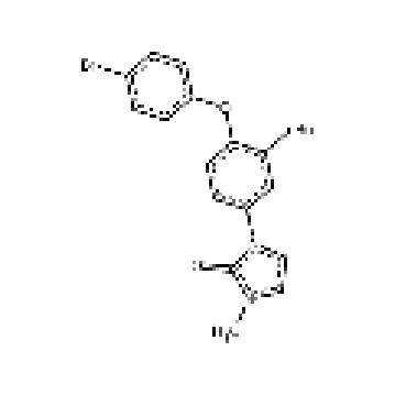 CCCCc1cc(-n2ccn(C)c2=O)ccc1Oc1ccc(Br)cc1